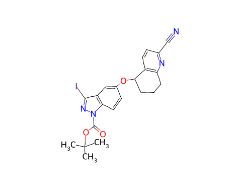 CC(C)(C)OC(=O)n1nc(I)c2cc(OC3CCCc4nc(C#N)ccc43)ccc21